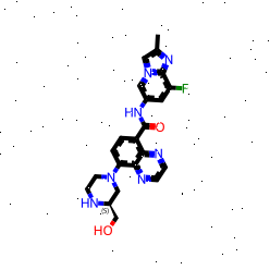 Cc1cn2cc(NC(=O)c3ccc(N4CCN[C@H](CO)C4)c4nccnc34)cc(F)c2n1